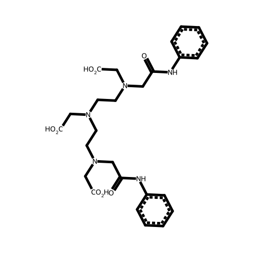 O=C(O)CN(CCN(CC(=O)O)CC(=O)Nc1ccccc1)CCN(CC(=O)O)CC(=O)Nc1ccccc1